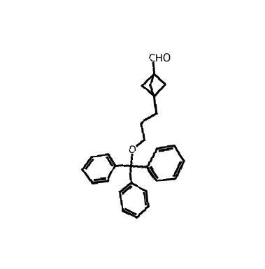 O=CC12CC(CCCOC(c3ccccc3)(c3ccccc3)c3ccccc3)(C1)C2